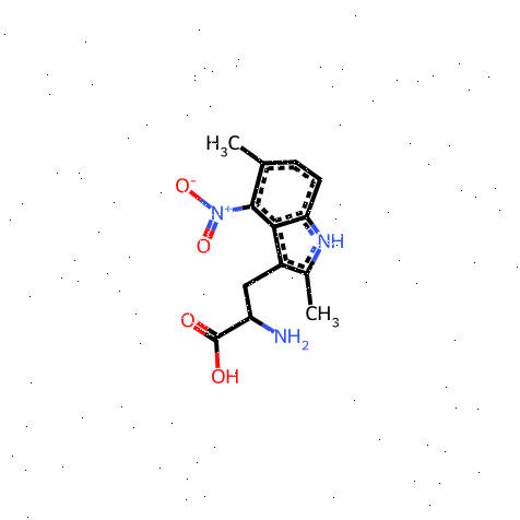 Cc1ccc2[nH]c(C)c(CC(N)C(=O)O)c2c1[N+](=O)[O-]